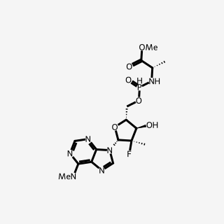 CNc1ncnc2c1ncn2[C@@H]1O[C@H](CO[PH](=O)N[C@@H](C)C(=O)OC)[C@@H](O)[C@@]1(C)F